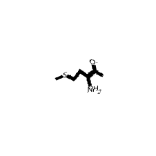 CSCCC(N)C(C)[O]